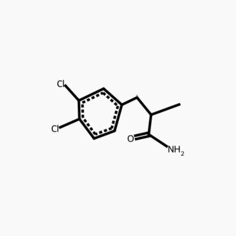 CC([CH]c1ccc(Cl)c(Cl)c1)C(N)=O